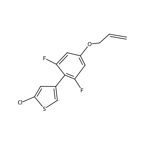 C=CCOc1cc(F)c(-c2[c]sc(Cl)c2)c(F)c1